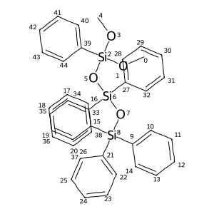 CO[Si](OC)(O[Si](O[Si](c1ccccc1)(c1ccccc1)c1ccccc1)(c1ccccc1)c1ccccc1)c1ccccc1